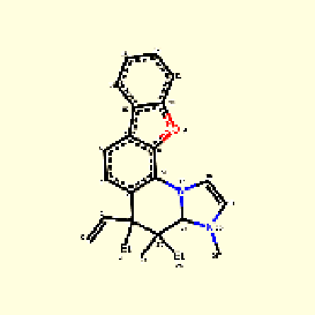 C=CC1(CC)c2ccc3c(oc4ccccc43)c2N2C=CN(C)C2C1(C)CC